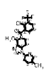 Cc1ccc(-n2nnc3c2C=CN(C(=O)c2cccc(C(F)(F)F)c2Cl)C3C)nc1